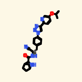 CC(C)Oc1ccc(-c2cn(-c3ccc(C[C@@H](C#N)NC(=O)C4NC5CCC4C5)cc3)nn2)nc1